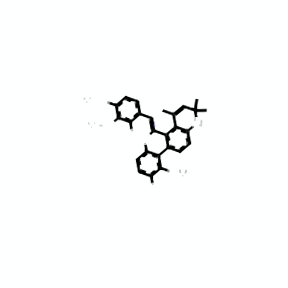 COc1ccc(/C=C2\Oc3ccc(O)c(OC)c3-c3ccc4c(c32)C(C)=CC(C)(C)N4)c(Cl)c1OC